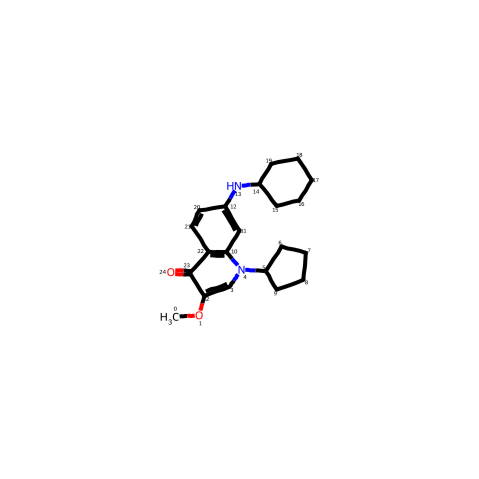 COc1cn(C2CCCC2)c2cc(NC3CCCCC3)ccc2c1=O